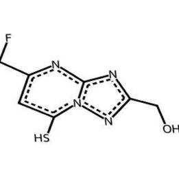 OCc1nc2nc(CF)cc(S)n2n1